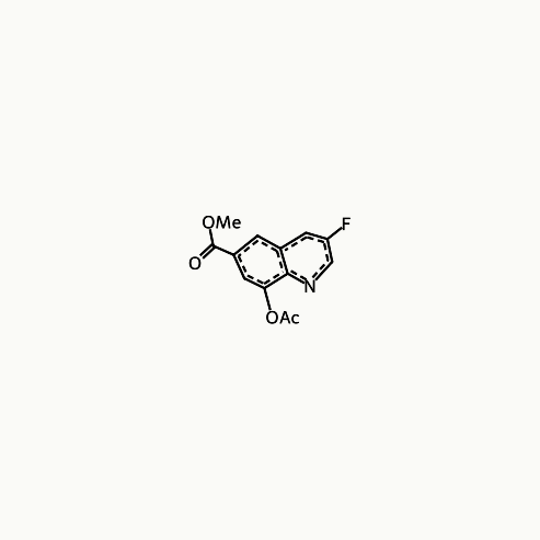 COC(=O)c1cc(OC(C)=O)c2ncc(F)cc2c1